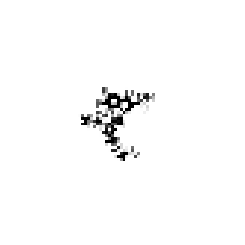 CC(C)(C)OC(=O)N1CC(C(C)(C)O[SiH2]C(C)(C)C)C[C@H]1COc1c(F)c(F)cc2c(=O)c(C(=O)O)cn(C3CC3)c12